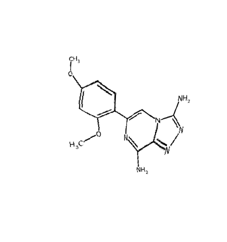 COc1ccc(-c2cn3c(N)nnc3c(N)n2)c(OC)c1